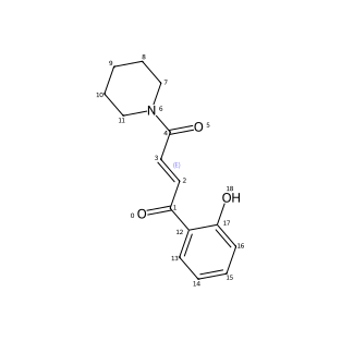 O=C(/C=C/C(=O)N1CCCCC1)c1ccccc1O